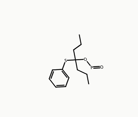 CCCC(CCC)(OP=O)Sc1ccccc1